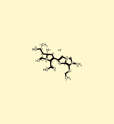 CCSc1c2sc(C3=C(C(=O)O)N4C(=O)[C@H]([C@@H](C)O)[C@H]4C3)c[n+]2cn1C.[I-]